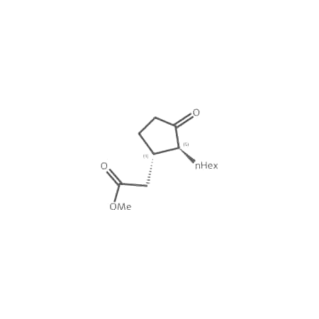 CCCCCC[C@@H]1C(=O)CC[C@H]1CC(=O)OC